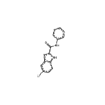 O=C(Nc1ccccc1)c1nc2cc(Cl)ccc2[nH]1